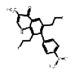 C[S+]([O-])c1ccc(-c2c(CCF)cc3c(=O)c(C(=O)O)c[nH]c3c2CCF)cc1